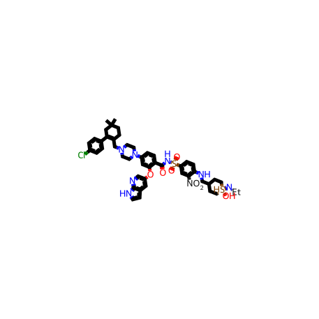 CCN=[SH]1(O)CCC(CNc2ccc(S(=O)(=O)NC(=O)c3ccc(N4CCN(CC5=C(c6ccc(Cl)cc6)CC(C)(C)CC5)CC4)cc3Oc3cnc4[nH]ccc4c3)cc2[N+](=O)[O-])CC1